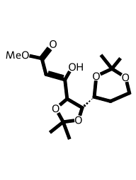 COC(=O)/C=C(\O)C1OC(C)(C)OC1[C@H]1CCOC(C)(C)O1